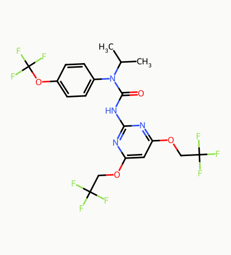 CC(C)N(C(=O)Nc1nc(OCC(F)(F)F)cc(OCC(F)(F)F)n1)c1ccc(OC(F)(F)F)cc1